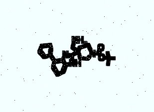 CC(C)(C)OC(=O)N1CCC(CN)(c2nc3c(-c4ccccc4)cccc3[nH]2)CC1